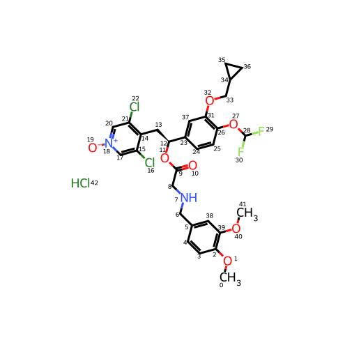 COc1ccc(CNCC(=O)O[C@@H](Cc2c(Cl)c[n+]([O-])cc2Cl)c2ccc(OC(F)F)c(OCC3CC3)c2)cc1OC.Cl